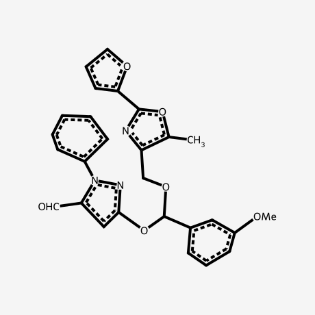 COc1cccc(C(OCc2nc(-c3ccco3)oc2C)Oc2cc(C=O)n(-c3ccccc3)n2)c1